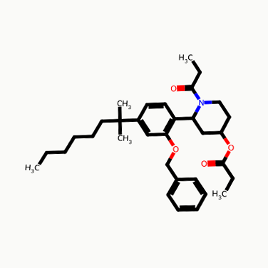 CCCCCCC(C)(C)c1ccc(C2CC(OC(=O)CC)CCN2C(=O)CC)c(OCc2ccccc2)c1